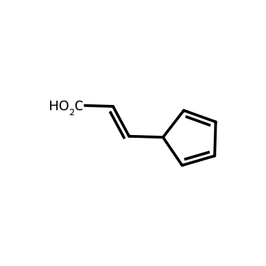 O=C(O)C=CC1C=CC=C1